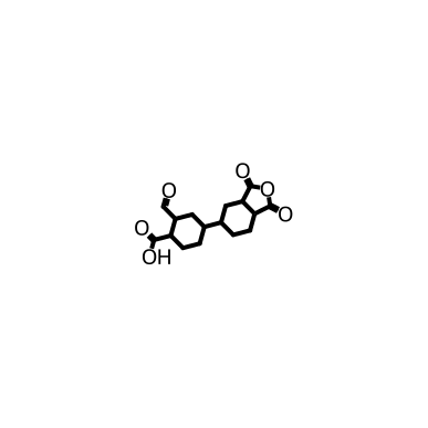 O=CC1CC(C2CCC3C(=O)OC(=O)C3C2)CCC1C(=O)O